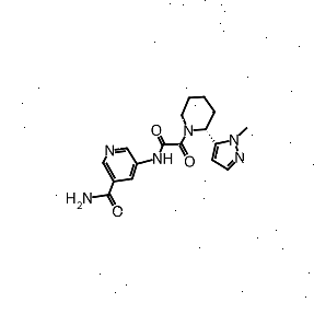 Cn1nccc1[C@H]1CCCCN1C(=O)C(=O)Nc1cncc(C(N)=O)c1